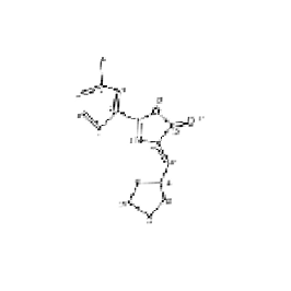 C=C/C(=C\C(=C)C)C1=N/C(=C\C2CCCC2)C(=O)O1